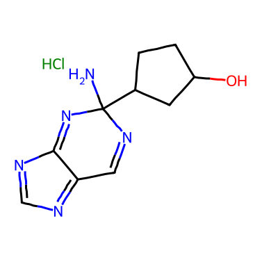 Cl.NC1(C2CCC(O)C2)N=CC2=NC=NC2=N1